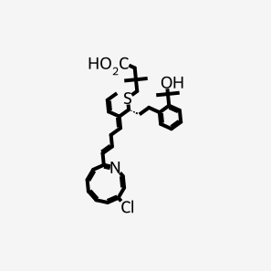 C/C=C\C(=C/C/C=C/c1cccccc(Cl)ccn1)[C@@H](CCc1ccccc1C(C)(C)O)SCC(C)(C)CC(=O)O